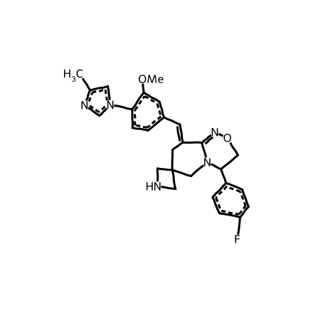 COc1cc(/C=C2\CC3(CNC3)CN3C2=NOCC3c2ccc(F)cc2)ccc1-n1cnc(C)c1